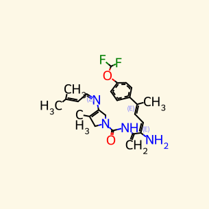 C=C(NC(=O)N1CC(C)=C(/N=C\C=C(C)C)C1)/C(N)=C\C=C(/C)c1ccc(OC(F)F)cc1